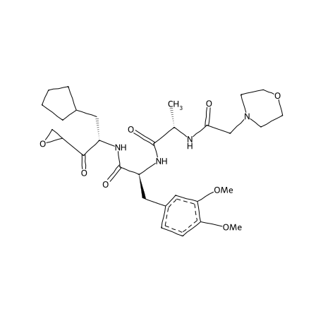 COc1ccc(C[C@H](NC(=O)[C@H](C)NC(=O)CN2CCOCC2)C(=O)N[C@@H](CC2CCCC2)C(=O)C2CO2)cc1OC